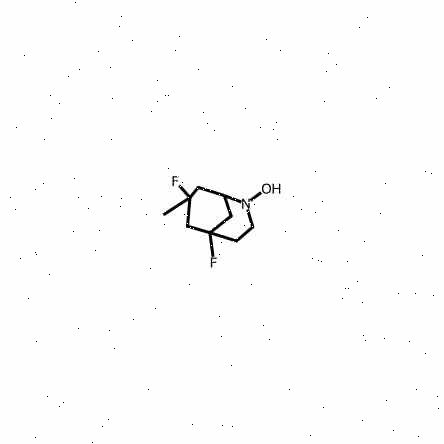 CC1(F)CC2CC(F)(CCN2O)C1